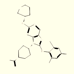 NC(=O)[C@H]1CC[C@@H](n2c(Nc3c(F)cc(Cl)cc3Cl)nc3cnc(N[C@@H]4CCCOC4)nc32)CC1